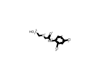 O=C(O)COCC(=O)Nc1ccc(Cl)cc1Cl